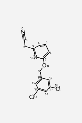 N#CCc1cccc(OCc2cc(Cl)cc(Cl)c2)n1